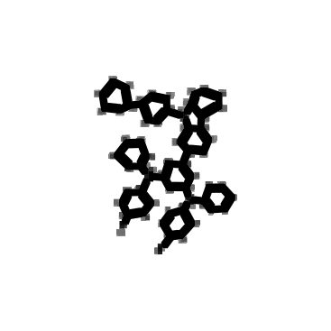 Fc1ccc(N(c2ccccc2)c2cc(-c3ccc4c5ccccc5n(-c5ccc(-c6ccccc6)cc5)c4c3)cc(N(c3ccccc3)c3ccc(F)cc3)c2)cc1